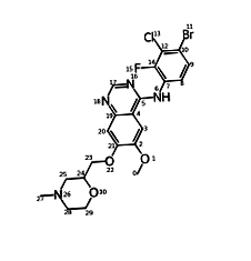 COc1cc2c(Nc3ccc(Br)c(Cl)c3F)ncnc2cc1OCC1CN(C)CCO1